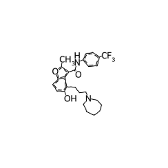 Cc1oc2ccc(O)c(CCCN3CCCCCC3)c2c1C(=O)Nc1ccc(C(F)(F)F)cc1